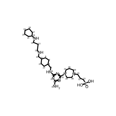 Nc1nc(NCC2CCC(CNCCCNC3CCCCC3)CC2)nc(N2CCCN(CCCP(=O)(O)O)CC2)n1